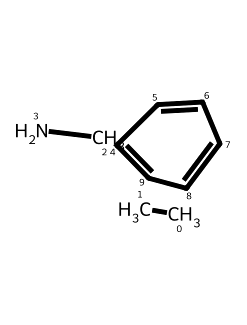 CC.CN.c1ccccc1